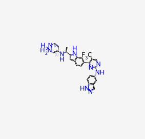 C=C(NC(/C=C\N)=C/N)c1cc2ccc(-c3nc(Nc4ccc5[nH]ncc5c4)ncc3C(F)(F)F)cc2[nH]1